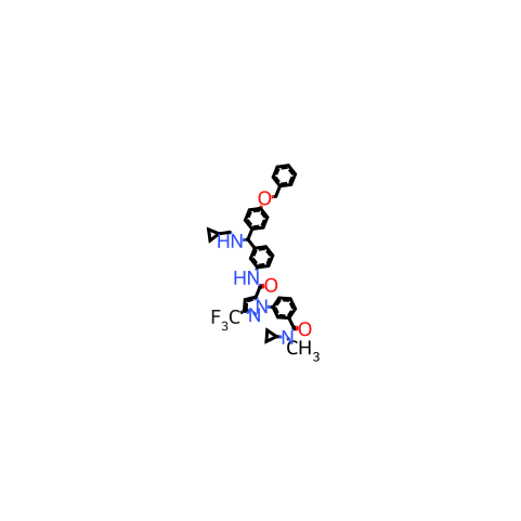 CN(C(=O)c1cccc(-n2nc(C(F)(F)F)cc2C(=O)Nc2cccc(C(NCC3CC3)c3ccc(OCc4ccccc4)cc3)c2)c1)C1CC1